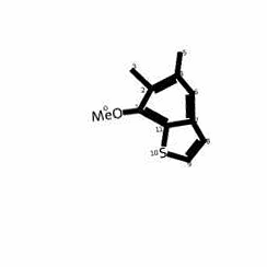 COc1c(C)c(C)cc2ccsc12